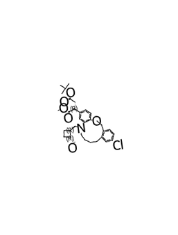 COC(=O)[C@H](CC(=O)OC(C)(C)C)c1ccc2c(c1)N(C[C@@H]1CC[C@H]1C=O)CCCCc1cc(Cl)ccc1CO2